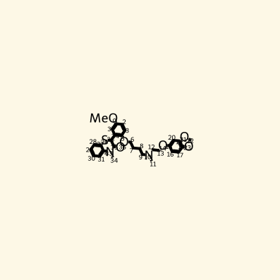 COc1ccc(OCCCCN(C)CCOc2ccc3c(c2)OCO3)c(C2Sc3ccccc3N(C)C2=O)c1